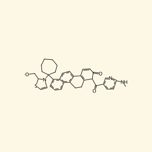 CNc1ccc(C(=O)C2C(=O)C=CC3=C2CCc2c3ccc3c(C4(N5C=CSC5C[O])CCCCCC4)cccc23)cn1